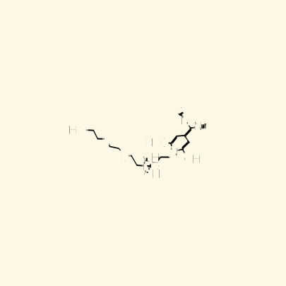 [C-]#[N+]C([N+]#[C-])=C1C=C(C)N(CCO[N+](C)(C)CCOCCOCCO)C(C)=C1